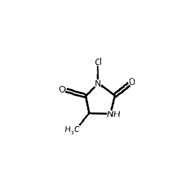 CC1NC(=O)N(Cl)C1=O